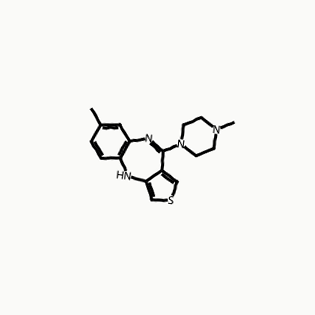 Cc1ccc2c(c1)N=C(N1CCN(C)CC1)c1cscc1N2